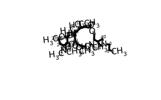 CCCN1CC(C2COC(=O)C(C)(C)C(=O)[C@H](C)[C@H]3O[C@@H]4O[C@H](C)C[C@H](N(C)C)[C@H]4O[C@@]3(OC)C[C@@H](C)CN2C)C1